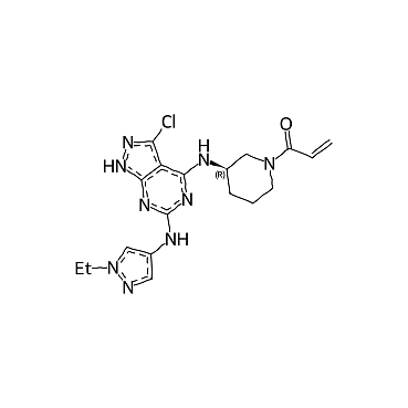 C=CC(=O)N1CCC[C@@H](Nc2nc(Nc3cnn(CC)c3)nc3[nH]nc(Cl)c23)C1